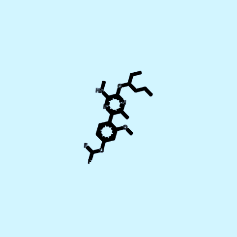 CCCC(CC)Oc1nc(C)c(-c2ccc(OC(F)F)cc2OC)nc1NC